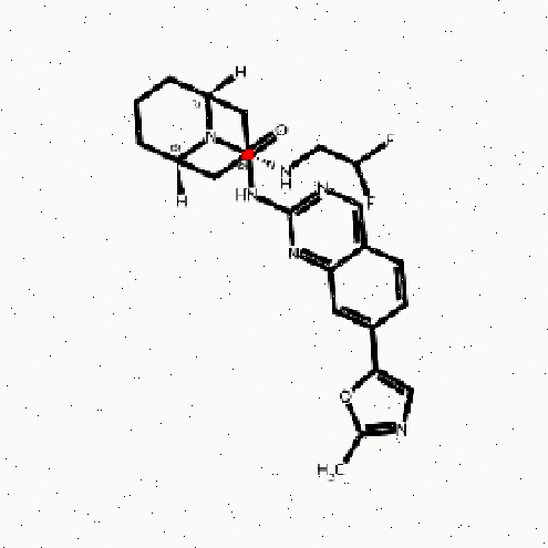 Cc1ncc(-c2ccc3cnc(NC(=O)N4[C@@H]5CCC[C@H]4C[C@@H](NCC(F)F)C5)nc3c2)o1